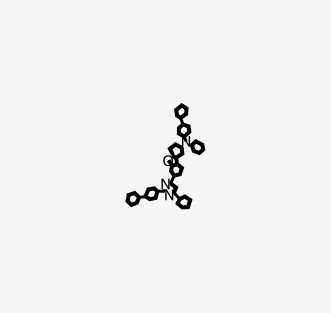 c1ccc(-c2ccc(-c3nc(-c4ccccc4)cc(-c4ccc5c(c4)oc4ccc(N(c6ccccc6)c6ccc(-c7ccccc7)cc6)cc45)n3)cc2)cc1